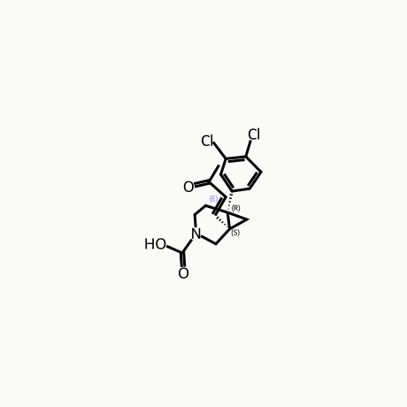 CC(=O)/C=C/[C@]12CN(C(=O)O)CC[C@@]1(c1ccc(Cl)c(Cl)c1)C2